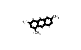 Cc1ccc2cc3c(C)cc(C)cc3cc2c1